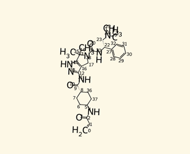 C=CC(=O)N[C@H]1CC[C@H](C(=O)Nc2n[nH]c3c2CN(C(=O)N[C@H](CN(C)C)c2ccccc2)C3(C)C)CC1